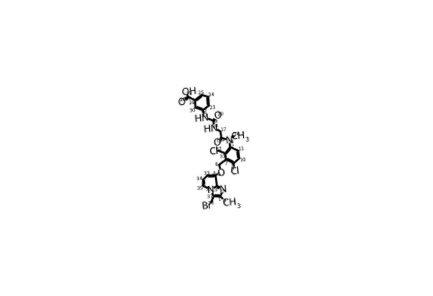 Cc1nc2c(OCc3c(Cl)ccc(N(C)C(=O)CNC(=O)Nc4cccc(C(=O)O)c4)c3Cl)cccn2c1Br